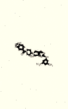 Cc1cc(C)cc(Nc2ncc3c(n2)CN(C2CCN(C(=O)c4ccc5[nH]nnc5c4)CC2O)C3)c1